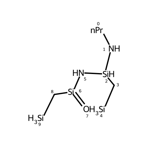 CCCN[SiH](C[SiH3])N[Si](=O)C[SiH3]